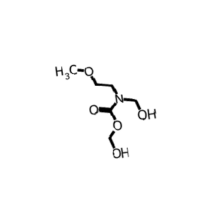 COCCN(CO)C(=O)OCO